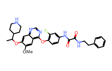 COc1cc2c(Oc3ccc(NC(=O)C(=O)NCCc4ccccc4)cc3F)ncnc2cc1OC(C)C1CCNCC1